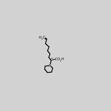 C=CCCCCC[C@@H](C(=O)O)N1CCCCC1